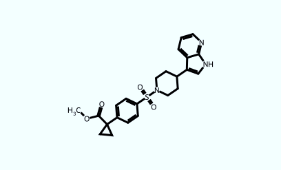 COC(=O)C1(c2ccc(S(=O)(=O)N3CCC(c4c[nH]c5ncccc45)CC3)cc2)CC1